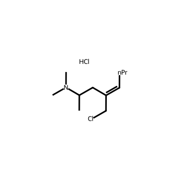 CCCC=C(CCl)CC(C)N(C)C.Cl